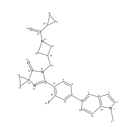 Cn1ccc2cc(-c3ccc(C4=NC5(CC5)C(=O)N4CC4CN(C(=O)C5CC5)C4)c(F)c3)ccc21